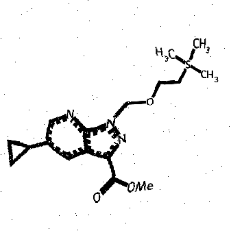 COC(=O)c1nn(COCCS(C)(C)C)c2ncc(C3CC3)cc12